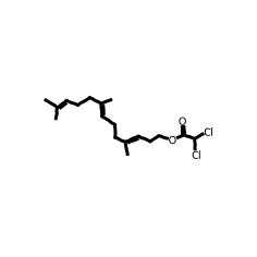 CC(C)=CCCC(C)=CCCC(C)=CCCOC(=O)C(Cl)Cl